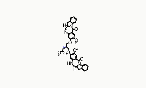 COC(=O)/C=C(/COc1cc2c(cc1OC)C(=O)N1c3ccccc3C[C@H]1C=N2)COc1cc2c(cc1OC)C(=O)N1c3ccccc3C[C@H]1CN2